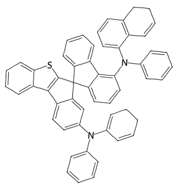 C1=CC(N(c2ccccc2)c2ccc3c(c2)C2(c4ccccc4-c4c(N(c5ccccc5)c5cccc6c5C=CCC6)cccc42)c2sc4ccccc4c2-3)=CCC1